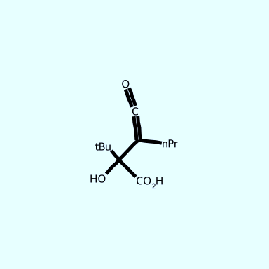 CCCC(=C=O)C(O)(C(=O)O)C(C)(C)C